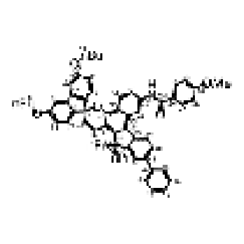 CCCCOc1ccc(C2(c3ccc(OCCCC)cc3)C=Cc3c4c(c5cc(NC(=O)c6ccc(OC)cc6)ccc5c3O2)-c2ccc(-c3ccccc3)cc2C4(CCC)CCC)cc1